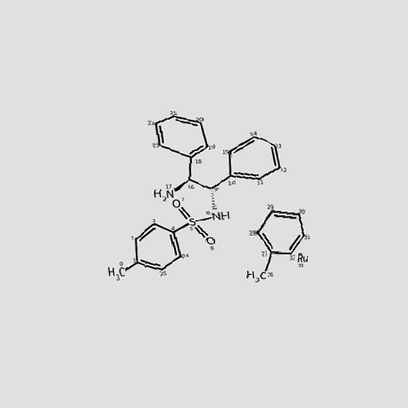 Cc1ccc(S(=O)(=O)N[C@@H](c2ccccc2)[C@@H](N)c2ccccc2)cc1.Cc1ccccc1.[Ru]